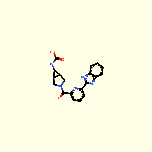 O=C(O)NC1C2CN(C(=O)c3cccc(-c4nc5ccccc5[nH]4)n3)CC21